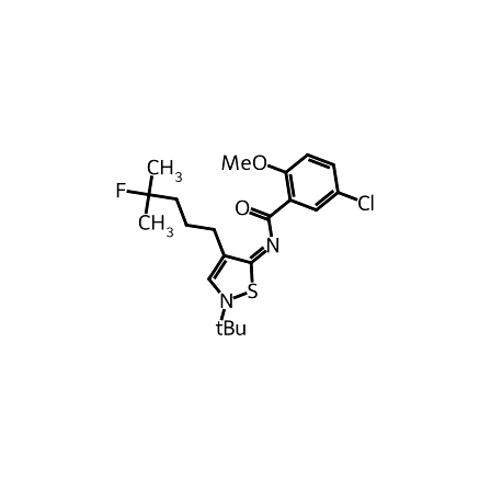 COc1ccc(Cl)cc1C(=O)N=c1sn(C(C)(C)C)cc1CCCC(C)(C)F